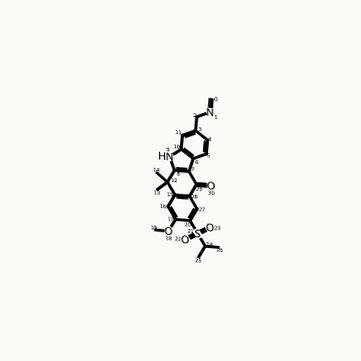 C=NCc1ccc2c3c([nH]c2c1)C(C)(C)c1cc(OC)c(S(=O)(=O)C(C)C)cc1C3=O